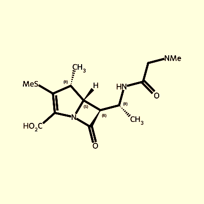 CNCC(=O)N[C@H](C)[C@H]1C(=O)N2C(C(=O)O)=C(SC)[C@H](C)[C@H]12